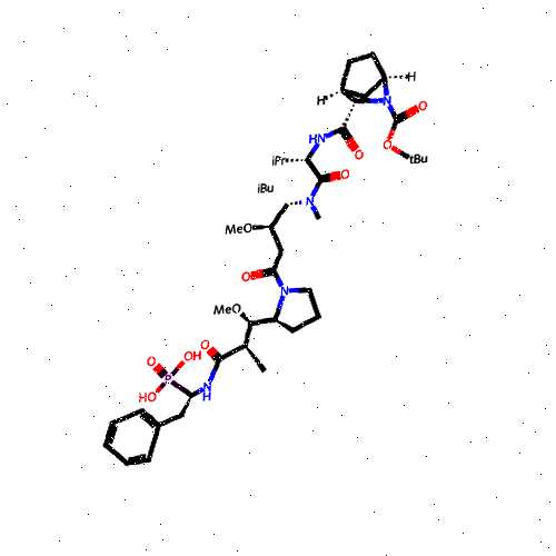 CC[C@H](C)[C@@H]([C@@H](CC(=O)N1CCC[C@H]1[C@H](OC)[C@@H](C)C(=O)N[C@@H](Cc1ccccc1)P(=O)(O)O)OC)N(C)C(=O)[C@@H](NC(=O)[C@@H]1[C@H]2CC[C@H](C2)N1C(=O)OC(C)(C)C)C(C)C